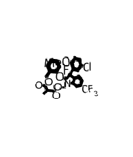 COc1ccc(Cl)cc1C1(F)C(=O)N(COC(=O)C(C)C(=O)OCc2ccccc2)c2cc(C(F)(F)F)ccc21